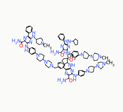 CN1CCC(Nc2nc(Nc3ccc(N4CCC(N5CCN(Cc6cccc(-c7nc(C(N)=O)c(Nc8ccc(N9CCC(N%10CCN(C)CC%10)CC9)cc8)nc7NC7CCCC7(C)Oc7cc(N8CCC(N9CCN(C)CC9)CC8)ccc7Nc7nc(NC8CCCC8)c(-c8ccccc8)nc7C(N)=O)c6)CC5)CC4)cc3)c(C(N)=O)nc2-c2ccccc2)CC1